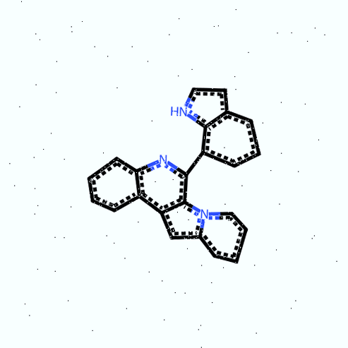 c1cc(-c2nc3ccccc3c3cc4ccccn4c23)c2[nH]ccc2c1